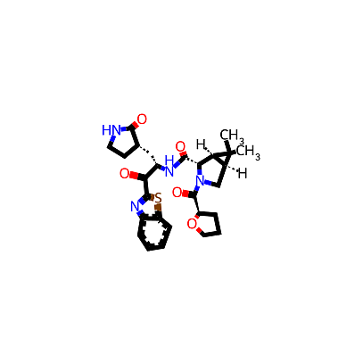 CC1(C)[C@@H]2[C@@H](C(=O)N[C@@H](C[C@@H]3CCNC3=O)C(=O)c3nc4ccccc4s3)N(C(=O)[C@H]3CCCO3)C[C@@H]21